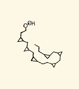 CCCC1CC1CC1CC1CC1CC1CCC1CC1CC1CC1CC1CC1CCOO